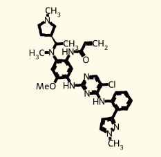 C=CC(=O)Nc1cc(Nc2ncc(Cl)c(Nc3ccccc3-c3ccn(C)n3)n2)c(OC)cc1N(C)C(C)[C@H]1CCN(C)C1